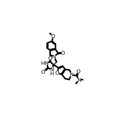 COc1ccc2c(c1)C(=O)N(C[C@@]1(c3cc4c(o3)CCN(C(=O)N(C)C)C4)NC(=O)NC1=O)C2